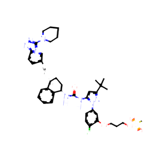 CC(C)(C)c1cc(NC(=O)N[C@H]2CC[C@@H](CCc3ccc4nnc(N5CCCCC5)n4c3)c3ccccc32)n(-c2ccc(Cl)c(OCCCOS(C)(=O)=O)c2)n1